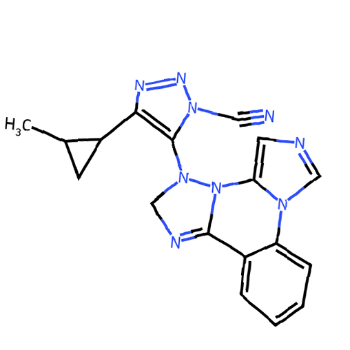 CC1CC1c1nnn(C#N)c1N1CN=C2c3ccccc3-n3cncc3N21